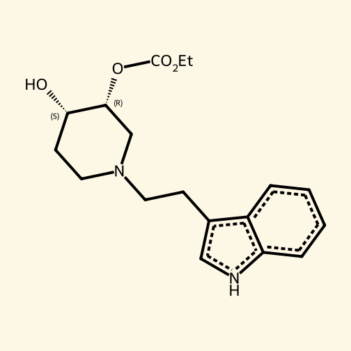 CCOC(=O)O[C@@H]1CN(CCc2c[nH]c3ccccc23)CC[C@@H]1O